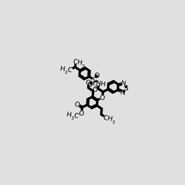 CCCc1cc(C(=O)OC)cc(CCC)c1OC(C(=O)NS(=O)(=O)c1ccc(C(C)C)cc1)c1ccc2nsnc2c1